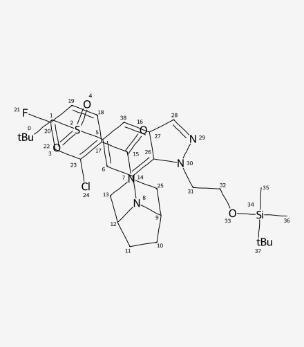 CC(C)(C)CS(=O)(=O)c1cc(N2C3CCC2CN(C(=O)c2ccc(F)cc2Cl)C3)c2c(cnn2CCO[Si](C)(C)C(C)(C)C)c1